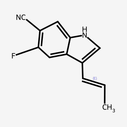 C/C=C/c1c[nH]c2cc(C#N)c(F)cc12